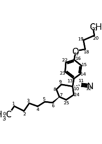 CCCCCCC[C@H]1CC[C@@](C#N)(c2ccc(OCCCC)cc2)CC1